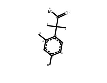 CCC(=O)C(C)(C)c1ccc(C)cc1C